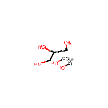 CCO.O=C(O)O.OCC(O)CO